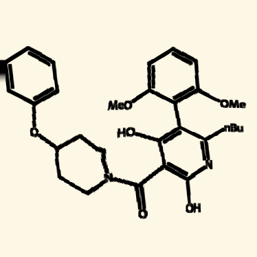 CCCCc1nc(O)c(C(=O)N2CCC(Oc3ccccc3)CC2)c(O)c1-c1c(OC)cccc1OC